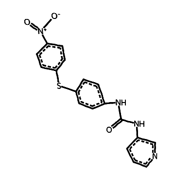 O=C(Nc1ccc(Sc2ccc([N+](=O)[O-])cc2)cc1)Nc1cccnc1